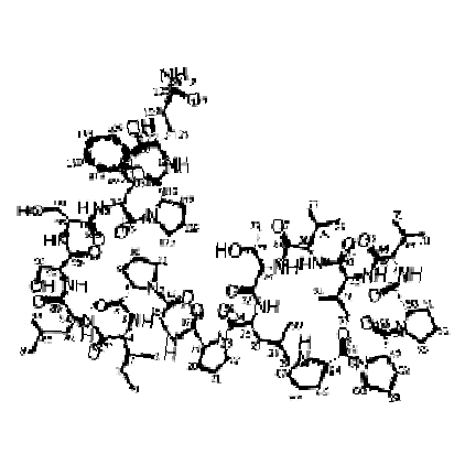 CC[C@H](C)[C@H](NC(=O)[C@@H]1CCCN1C(=O)CNC(=O)[C@@H]1CCCN1C(=O)[C@H](CC(C)C)NC(=O)[C@@H](NC(=O)[C@@H](NC(=O)[C@@H](NC(=O)[C@@H](NC(=O)[C@@H]1CCCN1C(=O)[C@@H]1CCCN1C(=O)[C@@H]1CCCN1)C(C)C)C(C)C)C(C)C)[C@@H](C)O)C(=O)N[C@@H](CC(C)C)C(=O)N[C@@H](CO)C(=O)N[C@@H](CO)C(=O)N[C@@H](Cc1ccccc1)C(=O)N1CCC[C@H]1C(=O)N[C@@H](CCC(N)=O)C(=O)O